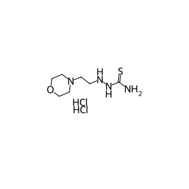 Cl.Cl.NC(=S)NNCCN1CCOCC1